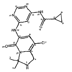 CC1(C)NCc2c(Cl)cc(Nc3cc(NC(=O)C4CC4)ncn3)c(=O)n21